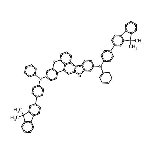 CC1(C)c2ccccc2-c2ccc(-c3ccc(N(C4=CC=CCC4)c4ccc5c(c4)sc4cc6c7c(cccc7c45)Sc4cc(N(c5ccccc5)c5ccc(-c7ccc8c(c7)C(C)(C)c7ccccc7-8)cc5)ccc4-6)cc3)cc21